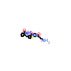 NCCCCC(=O)N1CCN(C(=O)c2cc(Cc3n[nH]c(=O)c4ccccc34)ccc2F)CC1